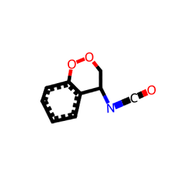 O=C=NC1COOc2ccccc21